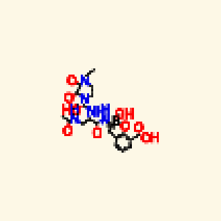 CCN1CCN(C(O)NC(CNC(C)=O)C(=O)N[C@H]2Cc3cccc(C(=O)O)c3OB2O)C(=O)C1=O